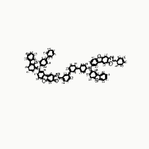 c1ccc(-c2ccc(N(c3ccc4oc5cc6oc(-c7cccc(-c8cccc(-c9ccc(N(c%10ccc%11oc%12cc%13nc(-c%14ccccc%14)oc%13cc%12c%11c%10)c%10ccc%11sc%12ccccc%12c%11c%10)cc9)c8)c7)nc6cc5c4c3)c3cccc4c3sc3ccccc34)cc2)cc1